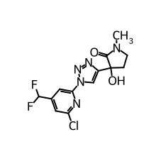 CN1CCC(O)(c2cn(-c3cc(C(F)F)cc(Cl)n3)nn2)C1=O